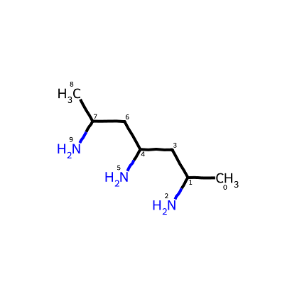 CC(N)CC(N)CC(C)N